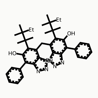 CCC(C)(C)C(C)(C)c1c(O)c(-c2ccccc2)c2nn[nH]c2c1Cc1c(C(C)(C)C(C)(C)CC)c(O)c(-c2ccccc2)c2nn[nH]c12